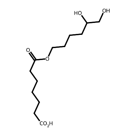 O=C(O)CCCCCC(=O)OCCCCC(O)CO